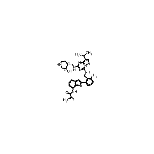 C=C(F)C(=O)Nc1cccc2cc(-c3cccc(C)c3CNc3nc(NC[C@H]4CCNC[C@@H]4O)nc4c(C(C)C)cnn34)[nH]c12